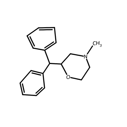 CN1CCOC(C(c2ccccc2)c2ccccc2)C1